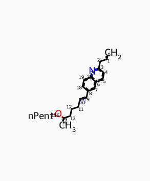 C=CCc1ccc2cc(/C=C/CCCC(C)OCCCCC)ccc2n1